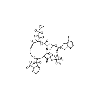 CC(C)(C)OC(=O)N[C@H]1CN(S(=O)(=O)c2ccccc2[N+](=O)[O-])CCC/C=C\[C@@H]2C[C@@]2(C(=O)NS(=O)(=O)C2CC2)NC(=O)C2CC(OC(=O)N3Cc4cccc(F)c4C3)CN2C1=O